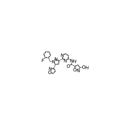 O=C(Nc1ccnc(-c2cc(-c3ccon3)n(Cc3ccccc3F)n2)n1)c1cc(O)no1